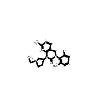 CCN1CCC(N2C(=O)N(c3c(C)cccc3F)Cc3cnc(N)nc32)C1